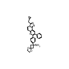 NC1(c2ccc(-c3nc4ccn5c(CC6CC6)nnc5c4cc3-c3ccccc3)cc2)CC2(C1)OCCO2